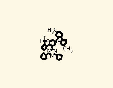 Cc1ccc2c3ccc(C)cc3n(-c3ccc(-c4ccccc4C(F)(F)F)c(-c4nc(-c5ccccc5)nc(-c5ccccc5)n4)c3)c2c1